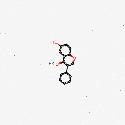 O=c1c(-c2ccccc2)coc2ccc(O)cc12.[KH]